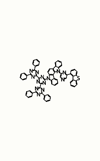 c1ccc(-c2nc(-c3ccccc3)nc(-c3nc(-c4nc(-c5ccccc5)nc(-c5ccccc5)n4)nc(-n4c5ccccc5c5c4ccc4c6ccccc6n(-c6cncc(-c7cccc8sc9ccccc9c78)n6)c45)n3)n2)cc1